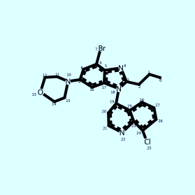 CCCc1nc2c(Br)cc(N3CCOCC3)cc2n1-c1ccnc2c(Cl)cccc12